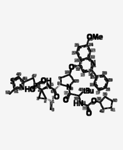 C=C[C@@H]1C[C@]1(NC(=O)[C@@H]1C[C@@H](Oc2cc(-c3ccccc3)nc3cc(OC)ccc23)CN1C(=O)C(NC(=O)OC1CCCC1)C(C)(C)C)P(=O)(O)Cc1csc(C)n1